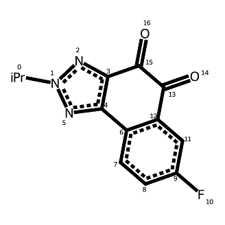 CC(C)n1nc2c(n1)-c1ccc(F)cc1C(=O)C2=O